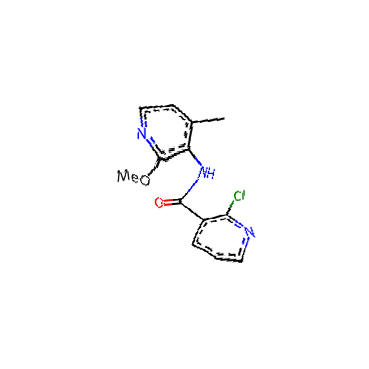 COc1nccc(C)c1NC(=O)c1cccnc1Cl